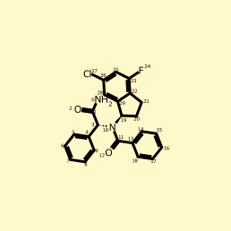 NC(=O)[C@@H](c1ccccc1)N(C(=O)c1ccccc1)[C@@H]1CCc2c(F)cc(Cl)cc21